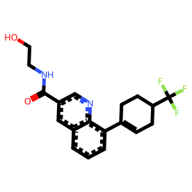 O=C(NCCO)c1cnc2c(C3=CCC(C(F)(F)F)CC3)cccc2c1